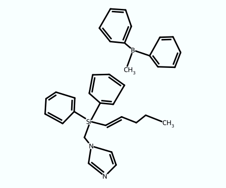 CB(c1ccccc1)c1ccccc1.CCCC=C[Si](Cn1ccnc1)(c1ccccc1)c1ccccc1